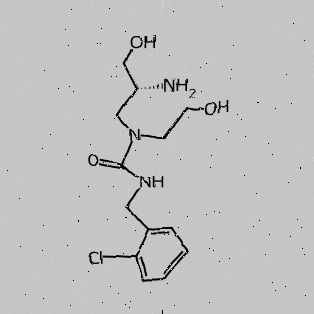 N[C@@H](CO)CN(CCO)C(=O)NCc1ccccc1Cl